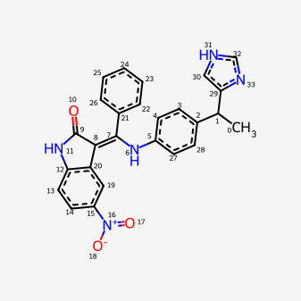 CC(c1ccc(NC(=C2C(=O)Nc3ccc([N+](=O)[O-])cc32)c2ccccc2)cc1)c1c[nH]cn1